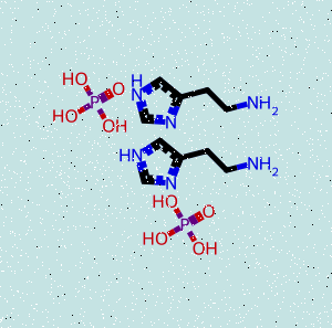 NCCc1c[nH]cn1.NCCc1c[nH]cn1.O=P(O)(O)O.O=P(O)(O)O